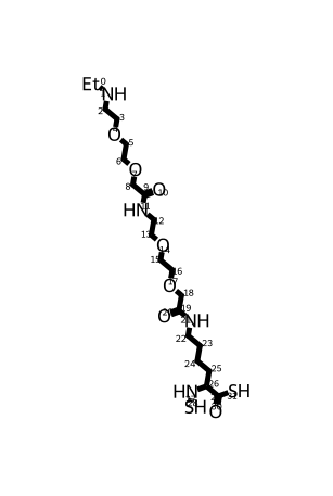 CCNCCOCCOCC(=O)NCCOCCOCC(=O)NCCCCC(NS)C(=O)S